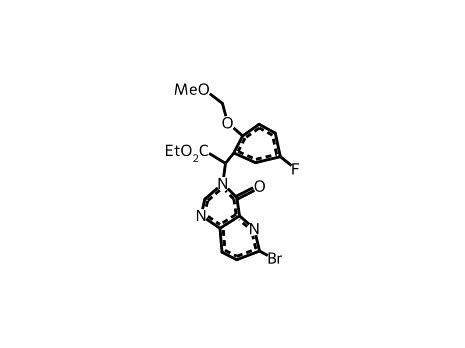 CCOC(=O)C(c1cc(F)ccc1OCOC)n1cnc2ccc(Br)nc2c1=O